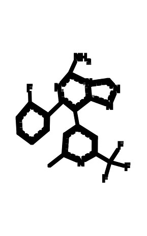 Cc1cc(-c2c(-c3ccccc3F)nc(N)n3cnnc23)cc(C(F)(F)F)n1